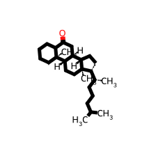 CC(C)CCC[C@@H](C)[C@H]1CC[C@H]2[C@@H]3CC(=O)C4CCC[CH][C@]4(C)[C@H]3CC[C@]12C